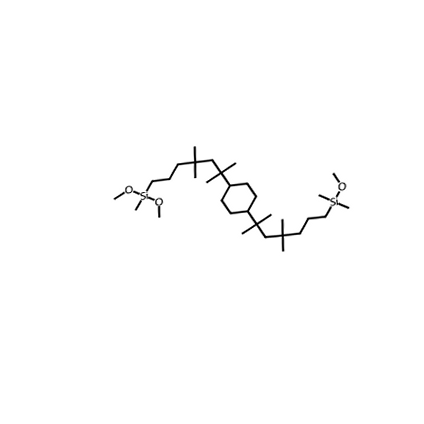 CO[Si](C)(C)CCCC(C)(C)CC(C)(C)C1CCC(C(C)(C)CC(C)(C)CCC[Si](C)(OC)OC)CC1